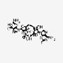 Nc1nc2c(ncn2[C@@H]2OC3CCC[C@H]4[C@@H](O)[C@H](n5cnc6c(N)nc(F)nc65)O[C@@H]4COP(=O)(O)O[C@@H]2[C@@H]3O)c(=O)[nH]1